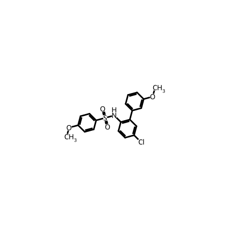 COc1ccc(S(=O)(=O)Nc2ccc(Cl)cc2-c2cccc(OC)c2)cc1